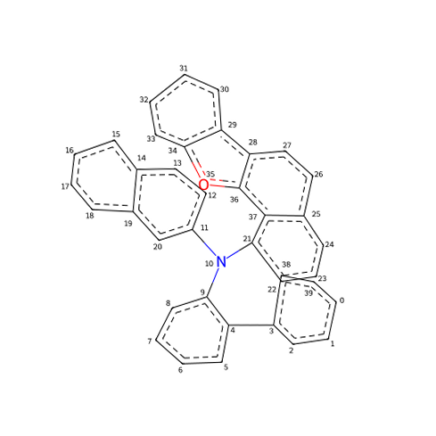 c1ccc(-c2ccccc2N(c2ccc3ccccc3c2)c2cccc3ccc4c5ccccc5oc4c23)cc1